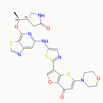 C[C@H](Oc1nc(Nc2cnc(-c3coc4c(=O)cc(N5CCOCC5)sc34)s2)cc2ncsc12)[C@@H]1CNC(=O)C1